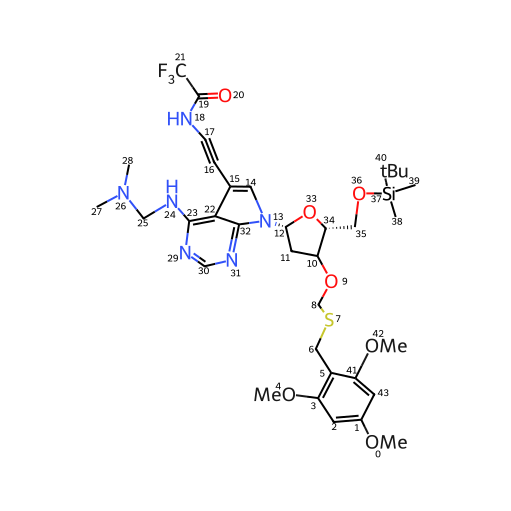 COc1cc(OC)c(CSCOC2C[C@H](n3cc(C#CNC(=O)C(F)(F)F)c4c(NCN(C)C)ncnc43)O[C@@H]2CO[Si](C)(C)C(C)(C)C)c(OC)c1